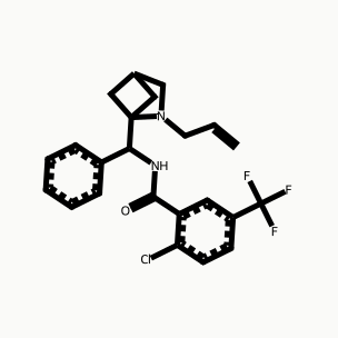 C=CCN1CC2CC1(C(NC(=O)c1cc(C(F)(F)F)ccc1Cl)c1ccccc1)C2